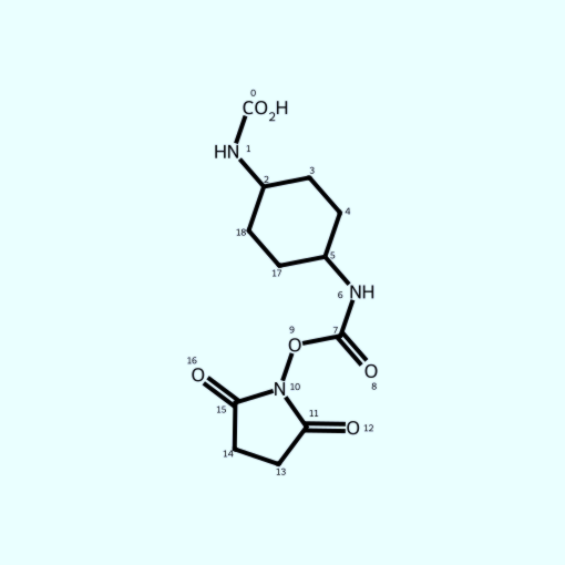 O=C(O)NC1CCC(NC(=O)ON2C(=O)CCC2=O)CC1